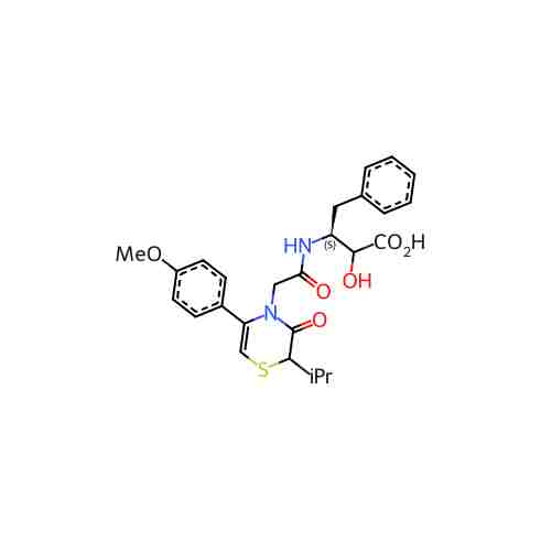 COc1ccc(C2=CSC(C(C)C)C(=O)N2CC(=O)N[C@@H](Cc2ccccc2)C(O)C(=O)O)cc1